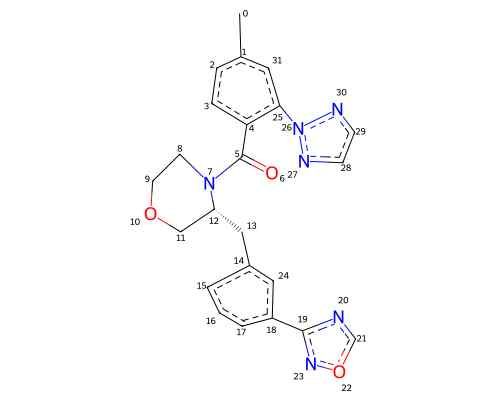 Cc1ccc(C(=O)N2CCOC[C@H]2Cc2cccc(-c3ncon3)c2)c(-n2nccn2)c1